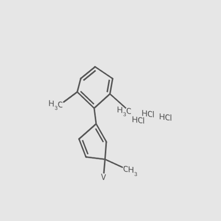 Cc1cccc(C)c1C1=C[C](C)([V])C=C1.Cl.Cl.Cl